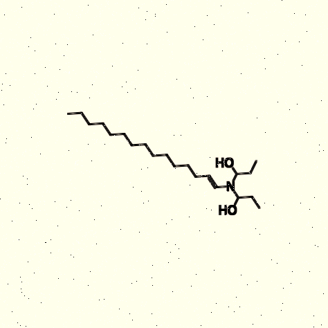 CCCCCCCCCCCCCC=CN(C(O)CC)C(O)CC